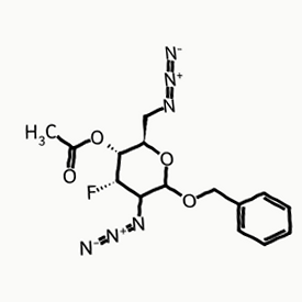 CC(=O)O[C@@H]1[C@@H](CN=[N+]=[N-])OC(OCc2ccccc2)C(N=[N+]=[N-])[C@@H]1F